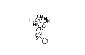 CC(C)(C)C(NC(=O)Cc1csc(-c2ccccc2)n1)C(=O)O